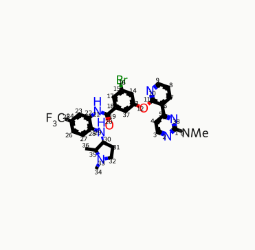 CNc1nccc(-c2cccnc2Oc2cc(Br)cc(C(=O)Nc3cc(C(F)(F)F)ccc3N[C@H]3CCN(C)C3C)c2)n1